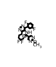 COc1ncc(C(=O)Nc2c(-c3cc(F)ccc3F)ncnc2C2CCC(F)(F)CO2)cn1